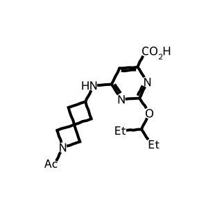 CCC(CC)Oc1nc(NC2CC3(C2)CN(C(C)=O)C3)cc(C(=O)O)n1